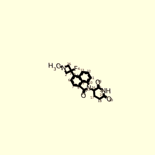 CN1CC(F)(c2ccc3c4c(cccc24)N(C2CCC(=O)NC2=O)C3=O)C1